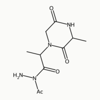 CC(=O)N(N)C(=O)C(C)N1CC(=O)NC(C)C1=O